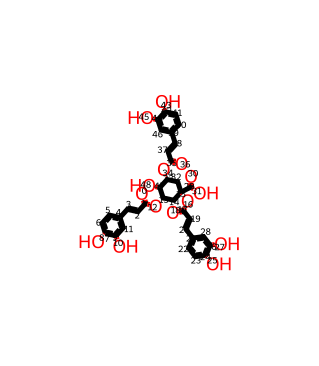 O=C(/C=C/c1ccc(O)c(O)c1)O[C@@H]1CC(OC(=O)/C=C/c2ccc(O)c(O)c2)(C(=O)O)C[C@@H](OC(=O)/C=C/c2ccc(O)c(O)c2)C1O